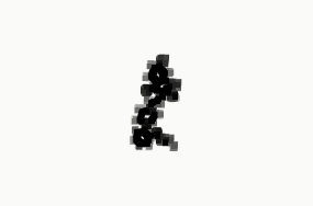 COc1ccccc1N1CCN(CCn2c(=O)[nH]c3cc(Cl)ccc3c2=O)CC1